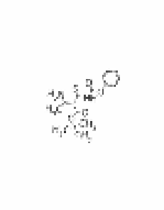 CC(N)=C(C(=O)OC(C)(C)C)C(=S)NC(=O)Oc1ccccc1